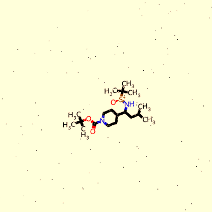 CC(C)CC(N[S@@+]([O-])C(C)(C)C)C1CCN(C(=O)OC(C)(C)C)CC1